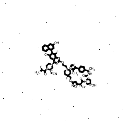 C=C(F)C(=O)N1CCN(c2nc(OCCN3CCC(F)(COc4cc([C@@H](C(=O)N5C[C@H](O)C[C@H]5C(=O)N[C@@H](C)c5ccc(-c6scnc6C)cc5)C(C)C)on4)CC3)nc3c(F)c(-c4cc(O)cc5ccccc45)c(Cl)cc23)C[C@@H]1CC#N